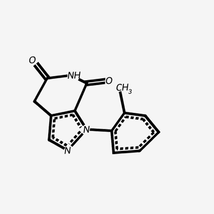 Cc1ccccc1-n1ncc2c1C(=O)NC(=O)C2